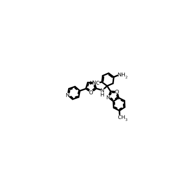 CC1=CC=C(N)CC1(Nc1ncc(-c2ccncc2)o1)c1nc2cc(C)ccc2o1